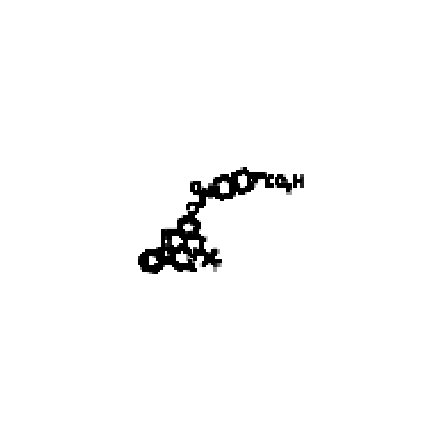 C[C@@H]1Cc2c([nH]c3ccccc23)[C@@H](c2c(F)cc(OCC(=O)N3CCC4(CCN(CC(=O)O)CC4)CC3)cc2F)N1CC(C)(C)F